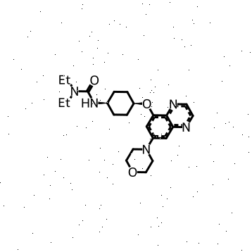 CCN(CC)C(=O)N[C@H]1CC[C@@H](Oc2cc(N3CCOCC3)cc3nccnc23)CC1